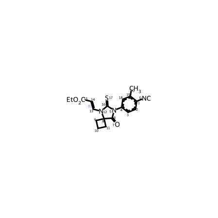 [C-]#[N+]c1ccc(N2C(=O)C3(CCC3)N(/C=C/C(=O)OCC)C2=S)cc1C